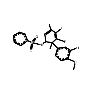 COc1ccc(C2(F)C(F)=C(F)C(F)=CC2NS(=O)(=O)c2ccccc2)cc1Cl